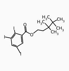 CC(C)(C)C(C)(C)CCOC(=O)c1cc(I)cc(I)c1I